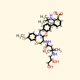 CSc1ccc2c(c1)SC[C@@H](NC(=O)CC(C)(C)NC[C@H](O)CO)C(=O)N2Cc1ccc(C2=CC=CC(=S(=O)=O)C2NC(C)(C)C)cc1